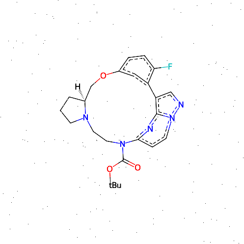 CC(C)(C)OC(=O)N1CCN2CCC[C@H]2COc2ccc(F)c(c2)-c2cnn3ccc1nc23